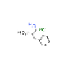 CCOC(=O)C(CN)Cc1ccccc1.Cl